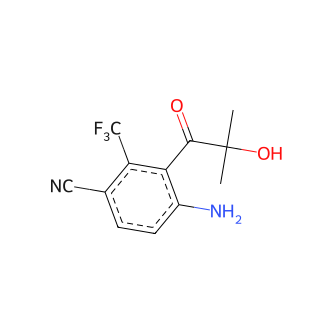 CC(C)(O)C(=O)c1c(N)ccc(C#N)c1C(F)(F)F